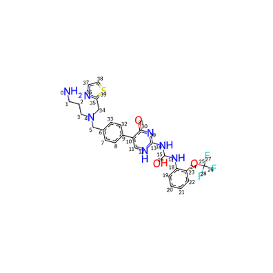 NCCCN(Cc1ccc(-c2c[nH]c(NC(O)Nc3ccccc3OC(F)(F)F)nc2=O)cc1)Cc1nccs1